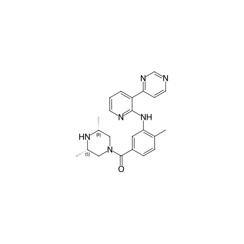 Cc1ccc(C(=O)N2C[C@@H](C)N[C@@H](C)C2)cc1Nc1ncccc1-c1ccncn1